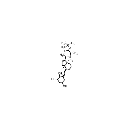 C=C1/C(=C\C=C2/CCC[C@]3(C)C(C(C)O[C@@H](C)C(=O)OC(C)(C)C)=CC[C@@H]23)C[C@@H](O)C[C@@H]1O